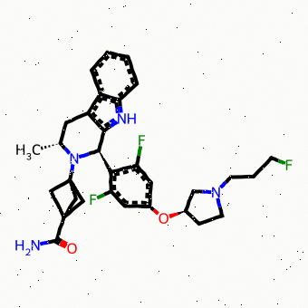 C[C@@H]1Cc2c([nH]c3ccccc23)[C@@H](c2c(F)cc(O[C@@H]3CCN(CCCF)C3)cc2F)N1C12CC(C(N)=O)(C1)C2